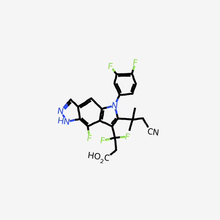 CC(C)(CC#N)c1c(C(F)(F)CC(=O)O)c2c(F)c3[nH]ncc3cc2n1-c1ccc(F)c(F)c1